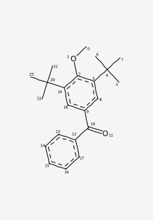 COc1c(C(C)(C)C)cc(C(=O)c2ccccc2)cc1C(C)(C)C